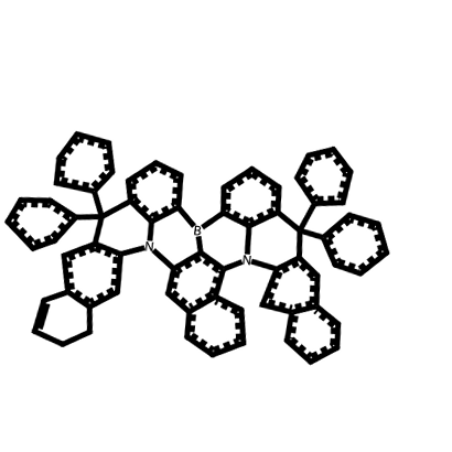 C1=Cc2cc3c(cc2CC1)N1c2cc4ccccc4c4c2B(c2cccc(c21)C3(c1ccccc1)c1ccccc1)c1cccc2c1N4c1cc3ccccc3cc1C2(c1ccccc1)c1ccccc1